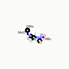 COc1ccc(CN2Cc3c(F)c(NC4CCOCC4NC(=O)OC(C)(C)C)nc(Cl)c3C2=O)c(OC)c1